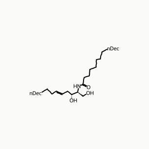 CCCCCCCCCCCCC=CC[C@@H](O)[C@H](CO)NC(=O)CCCCCCCCCCCCCCCCC